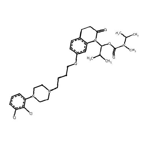 CC(C)C(OC(=O)N(C)C(C)C)N1C(=O)CCc2ccc(OCCCCN3CCN(c4cccc(Cl)c4Cl)CC3)cc21